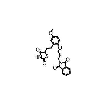 COc1ccc(OCCCN2C(=O)c3ccccc3C2=O)c(CCC2SC(=O)NC2=O)c1